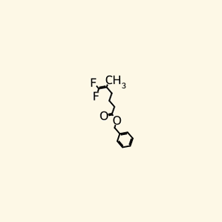 CC(CCCC(=O)OCc1ccccc1)=C(F)F